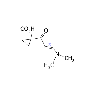 CN(C)/C=C/C(=O)C1(C(=O)O)CC1